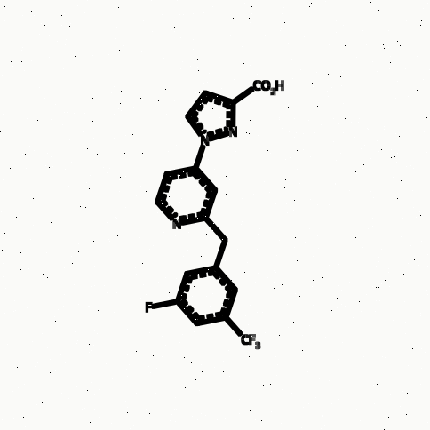 O=C(O)c1ccn(-c2ccnc(Cc3cc(F)cc(C(F)(F)F)c3)c2)n1